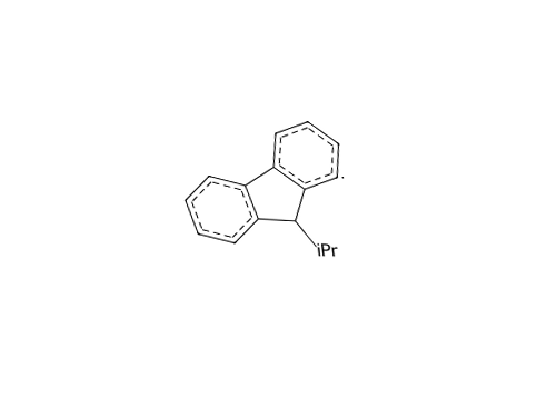 CC(C)C1c2[c]cccc2-c2ccccc21